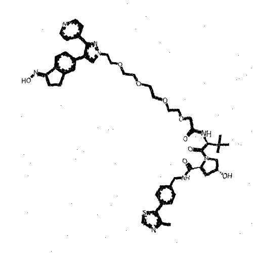 Cc1ncsc1-c1ccc(CNC(=O)[C@@H]2C[C@@H](O)CN2C(=O)[C@@H](NC(=O)COCCOCCOCCOCCn2cc(-c3ccc4c(c3)CC/C4=N\O)c(-c3ccncc3)n2)C(C)(C)C)cc1